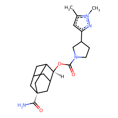 Cc1cc(C2CCN(C(=O)O[C@H]3C4CC5CC3C[C@](C(N)=O)(C5)C4)C2)nn1C